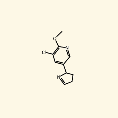 COc1ncc(C2CCC=N2)cc1Cl